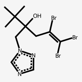 CC(C)(C)C(O)(CC(Br)=C(Br)Br)Cn1cncn1